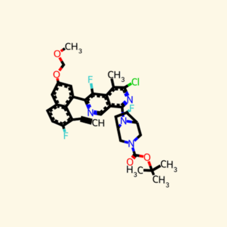 C#Cc1c(F)ccc2cc(OCOC)cc(-c3ncc4c(N5C6CC(F)C5CN(C(=O)OC(C)(C)C)C6)nc(Cl)c(C)c4c3F)c12